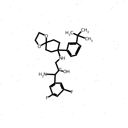 CC(C)(C)c1cccc(C2(NC[C@@H](O)C(N)c3cc(F)cc(F)c3)CCC3(CC2)OCCO3)c1